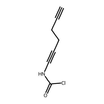 C#CCCC#CNC(=O)Cl